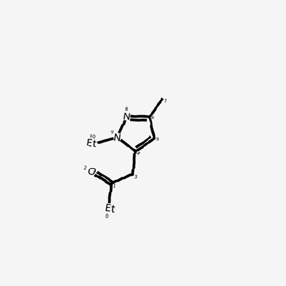 CCC(=O)Cc1cc(C)nn1CC